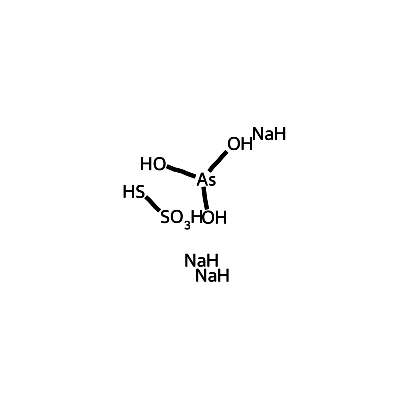 O=S(=O)(O)S.O[As](O)O.[NaH].[NaH].[NaH]